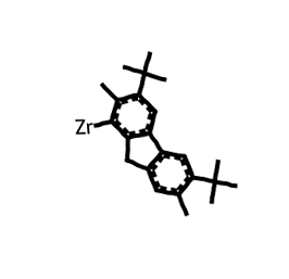 Cc1cc2c(cc1C(C)(C)C)-c1cc(C(C)(C)C)c(C)[c]([Zr])c1C2